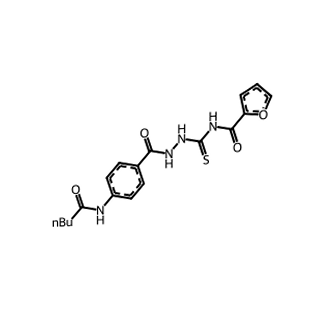 CCCCC(=O)Nc1ccc(C(=O)NNC(=S)NC(=O)c2ccco2)cc1